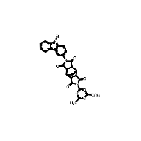 CCn1c2ccccc2c2cc(N3C(=O)C4C5C=CC(C4C3=O)C3C(=O)N(c4nc(C)nc(OC)n4)C(=O)C53)ccc21